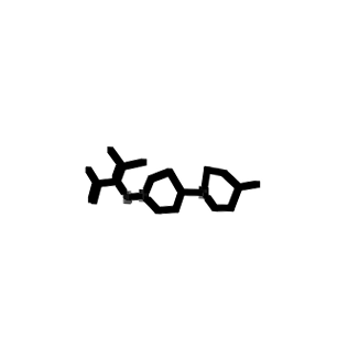 C=C(C)C(SN1CCC(N2CCC(C)CC2)CC1)=C(C)C